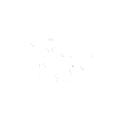 Cc1c(F)c(F)nc(F)c1C[C@@H]1NC(=O)[C@@H](NC(=O)c2ncccc2O)[C@@H](C)NC(=O)C(C2CCC2)NC(=O)[C@H](C)[C@@H]1O